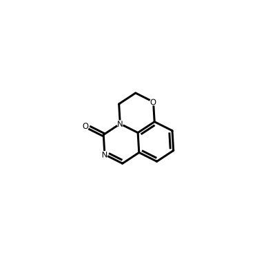 O=c1ncc2cccc3c2n1CCO3